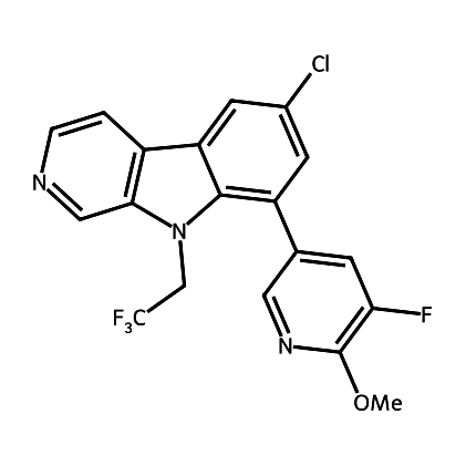 COc1ncc(-c2cc(Cl)cc3c4ccncc4n(CC(F)(F)F)c23)cc1F